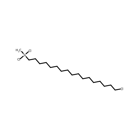 C[Si](Cl)(Cl)CCCCCCCCCCCCCCCCCCl